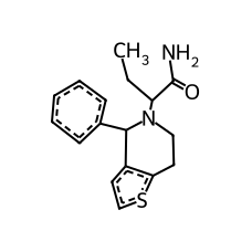 CCC(C(N)=O)N1CCc2sccc2C1c1ccccc1